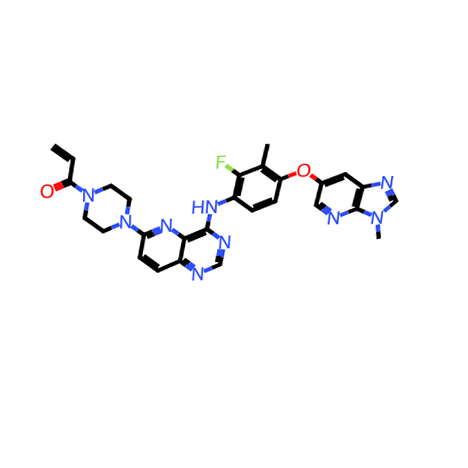 C=CC(=O)N1CCN(c2ccc3ncnc(Nc4ccc(Oc5cnc6c(c5)ncn6C)c(C)c4F)c3n2)CC1